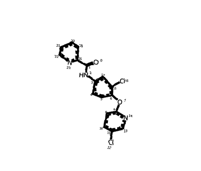 O=C(Nc1ccc(Oc2ccc(Cl)cn2)c(Cl)c1)c1ccccn1